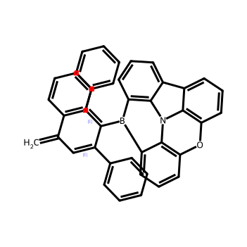 C=C(/C=C(\C(=C\c1ccccc1)B1c2cccc3c2-n2c4c(cccc4c4cccc1c42)O3)c1ccccc1)c1ccccc1